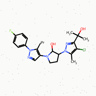 Cc1c(Cl)c(C(C)(C)O)nn1C1CCN(c2cnn(-c3ccc(F)cc3)c2C(C)C)C1O